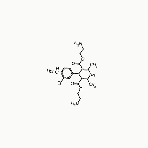 CC1=C(C(=O)OCCN)C(c2cccc(Cl)c2)C(C(=O)OCCN)=C(C)N1.Cl.Cl